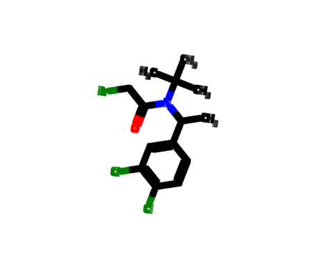 CC(c1ccc(Cl)c(Cl)c1)N(C(=O)CBr)C(C)(C)C